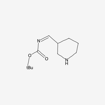 CC(C)(C)OC(=O)/N=C\C1CCCNC1